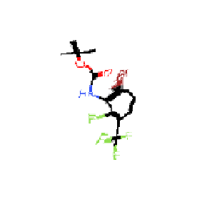 CC(C)(C)OC(=O)Nc1c(Br)ccc(C(F)(F)F)c1F